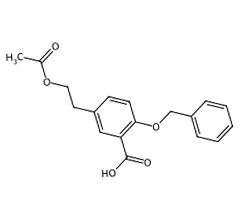 CC(=O)OCCc1ccc(OCc2ccccc2)c(C(=O)O)c1